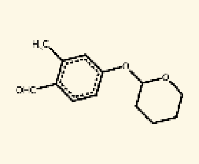 Cc1cc(OC2CCCCO2)c[c]c1C=O